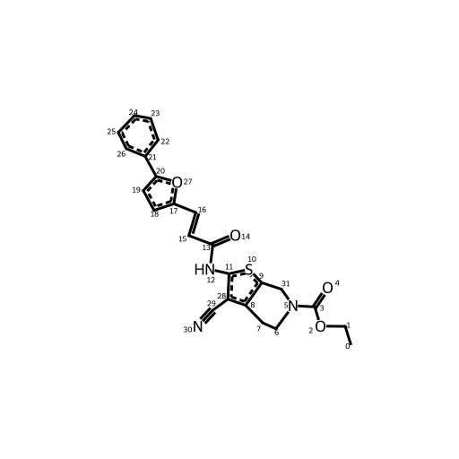 CCOC(=O)N1CCc2c(sc(NC(=O)C=Cc3ccc(-c4ccccc4)o3)c2C#N)C1